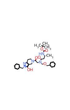 C[C@H](CC(=O)N(COCc1ccccc1)CC(=O)N1CCc2nn(Cc3ccccc3)c(O)c2C1)NC(=O)OC(C)(C)C